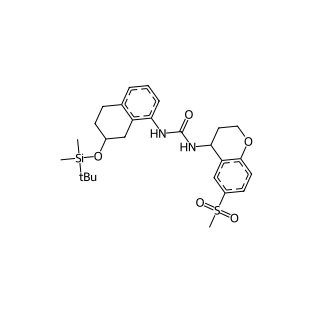 CC(C)(C)[Si](C)(C)OC1CCc2cccc(NC(=O)NC3CCOc4ccc(S(C)(=O)=O)cc43)c2C1